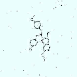 CCSc1ccc2cc(Cl)c(N(Cc3ccc(OC)cc3)Cc3ccc(OC)cc3)nc2c1